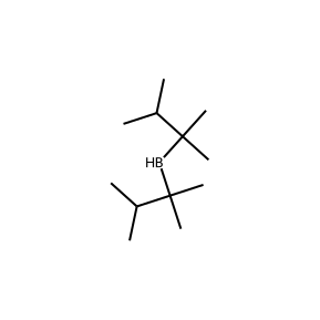 CC(C)C(C)(C)BC(C)(C)C(C)C